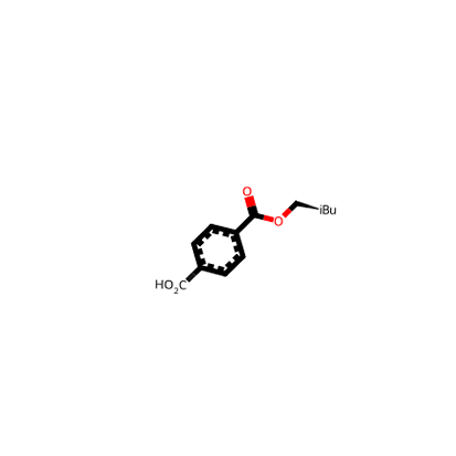 CC[C@H](C)COC(=O)c1ccc(C(=O)O)cc1